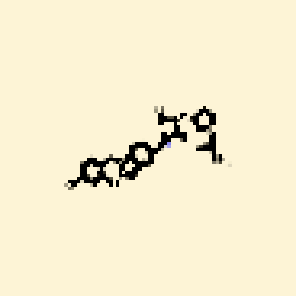 NC(=O)CN1CC[C@@H](CN2C(=O)S/C(=C\c3ccc4c(cnn4Cc4ccc(Cl)cc4C(F)(F)F)c3)C2=O)C1